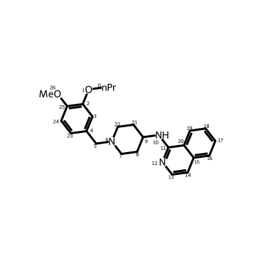 CCCOc1cc(CN2CCC(Nc3nccc4ccccc34)CC2)ccc1OC